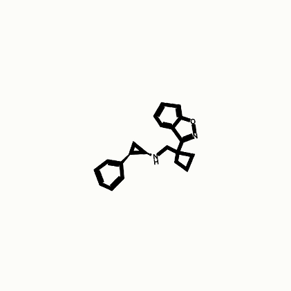 c1ccc([C@H]2C[C@@H]2NCC2(c3noc4ccccc34)CCC2)cc1